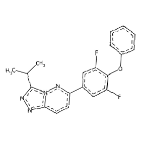 CC(C)c1nnc2ccc(-c3cc(F)c(Oc4ccccc4)c(F)c3)nn12